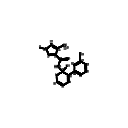 Cn1cc(C(=O)NC2(F)CC=CC=C2c2cccc(F)c2)c(C(F)(F)F)n1